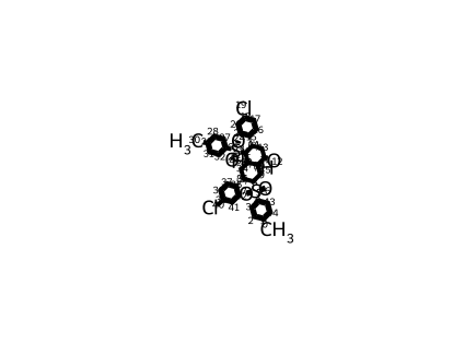 Cc1ccc(S(=O)(=O)C2C[C@H]3C(=O)C[C@@H](c4ccc(Cl)cc4)C(S(=O)(=O)c4ccc(C)cc4)[C@H]3C[C@H]2c2ccc(Cl)cc2)cc1